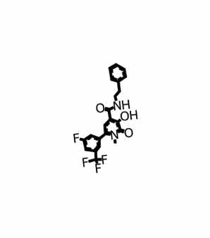 Cn1c(-c2cc(F)cc(C(F)(F)F)c2)cc(C(=O)NCCc2ccccc2)c(O)c1=O